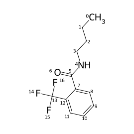 CCCCNC(=O)c1ccccc1C(F)(F)F